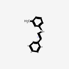 Cc1cccc(S/C=C/c2ccccc2)c1